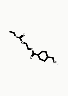 CCOC(=O)OCCOC(=O)C1CCC(CN)CC1